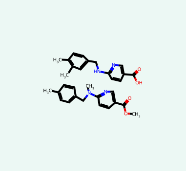 COC(=O)c1ccc(N(C)Cc2ccc(C)cc2)nc1.Cc1ccc(CNc2ccc(C(=O)O)cn2)cc1C